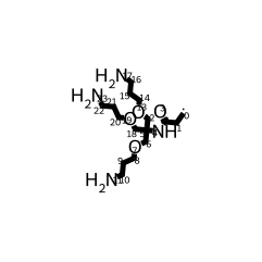 [CH2]CC(=O)NC(COCCCN)(COCCCN)COCCCN